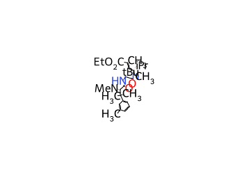 CCOC(=O)/C(C)=C/[C@H](C(C)C)N(C)C(=O)[C@@H](NC(=O)[C@@H](NC)C(C)(C)c1cccc(C)c1)C(C)(C)C